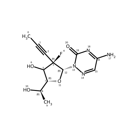 CC#C[C@@]1(F)C(O)[C@@H]([C@@H](C)O)O[C@H]1n1ncc(N)nc1=O